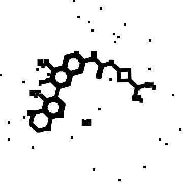 Cc1c(-c2cc3cc(NC(=O)OC4CC(N(C)C)C4)ncc3c(N)c2F)cnc2c1NCCO2.Cl